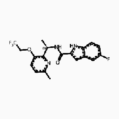 Cc1ccc(OCC(F)(F)F)c([C@@H](C)NC(=O)c2cc3cc(F)ccc3[nH]2)n1